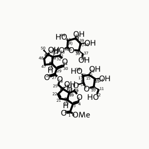 COC(=O)C1=CO[C@@H](O[C@@H]2O[C@H](CO)[C@H](O)[C@H](O)[C@H]2O)[C@H]2[C@@H]1C=C[C@@]2(O)COC(=O)C1=CO[C@@H](O[C@@H]2O[C@H](CO)[C@H](O)[C@H](O)[C@H]2O)[C@H]2[C@@H]1CC[C@]2(C)O